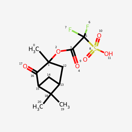 CC1(OC(=O)C(F)(F)S(=O)(=O)O)CC2CC(C1=O)C2(C)C